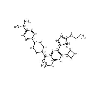 CCOc1nnc(-c2cc(C(=O)N3CCC(c4ccc(C(N)=O)cc4)CC3)c(CC)cc2C2CCC2)[nH]1